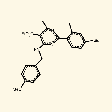 CCOC(=O)c1c(C)nc(-c2ccc(C(C)(C)C)cc2C)nc1NCc1ccc(OC)cc1